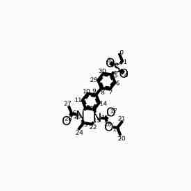 CCS(=O)(=O)c1ccc(-c2ccc3c(c2)N(C(=O)OC(C)C)CC(C)N3C(C)=O)cc1